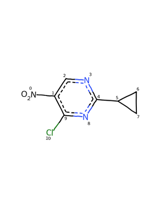 O=[N+]([O-])c1cnc(C2CC2)nc1Cl